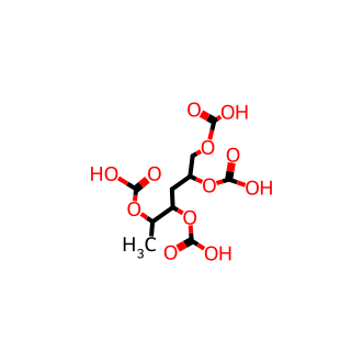 CC(OC(=O)O)C(CC(COC(=O)O)OC(=O)O)OC(=O)O